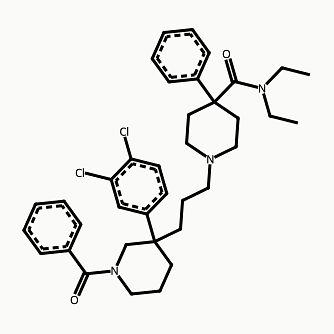 CCN(CC)C(=O)C1(c2ccccc2)CCN(CCCC2(c3ccc(Cl)c(Cl)c3)CCCN(C(=O)c3ccccc3)C2)CC1